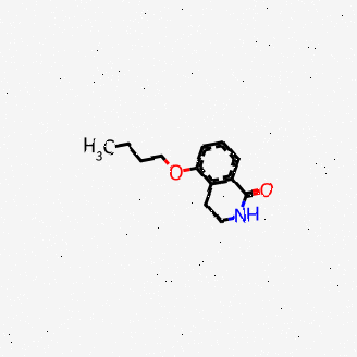 CCCCOc1cccc2c1CCNC2=O